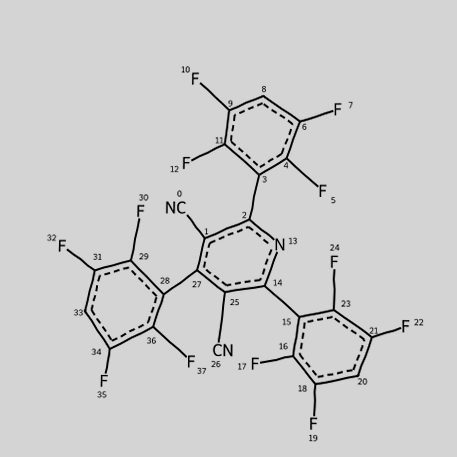 N#Cc1c(-c2c(F)c(F)cc(F)c2F)nc(-c2c(F)c(F)cc(F)c2F)c(C#N)c1-c1c(F)c(F)cc(F)c1F